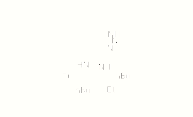 CCCCC(CC)CNC(NCC(CC)CCCC)c1cccc2[nH]nnc12